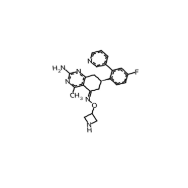 Cc1nc(N)nc2c1C(=NOC1CNC1)C[C@H](c1ccc(F)cc1-c1cccnc1)C2